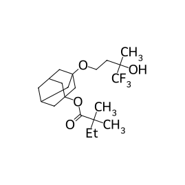 CCC(C)(C)C(=O)OC12CC3CC(CC(OCCC(C)(O)C(F)(F)F)(C3)C1)C2